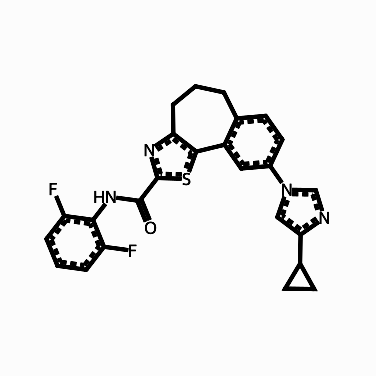 O=C(Nc1c(F)cccc1F)c1nc2c(s1)-c1cc(-n3cnc(C4CC4)c3)ccc1CCC2